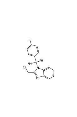 [2H]C([2H])(c1ccc(Cl)cc1)n1c(CCl)nc2ccccc21